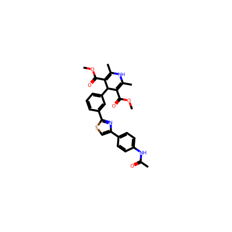 COC(=O)C1=C(C)NC(C)=C(C(=O)OC)C1c1cccc(-c2nc(-c3ccc(NC(C)=O)cc3)cs2)c1